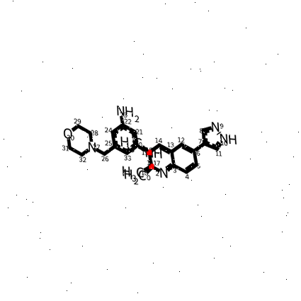 C=C(/N=C1/C=CC(c2cn[nH]c2)=C/C1=C/C(C)CC)Nc1cc(N)cc(CN2CCOCC2)c1